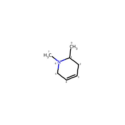 CC1CC=CCN1C